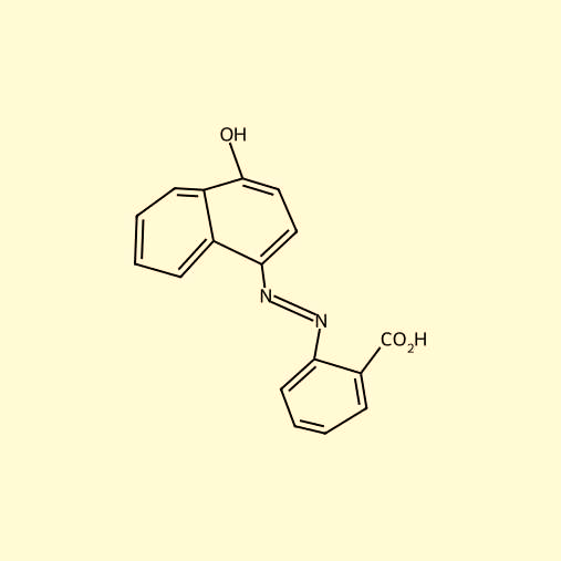 O=C(O)c1ccccc1N=Nc1ccc(O)c2ccccc12